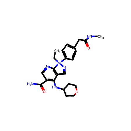 CC[N+]1(c2ccc(CC(=O)NC)cc2)N=Cc2c1ncc(C(N)=O)c2NC1CCOCC1